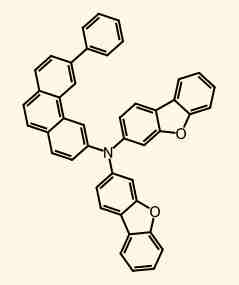 c1ccc(-c2ccc3ccc4ccc(N(c5ccc6c(c5)oc5ccccc56)c5ccc6c(c5)oc5ccccc56)cc4c3c2)cc1